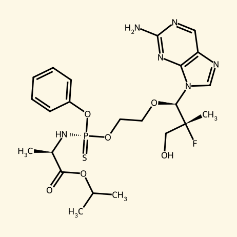 CC(C)OC(=O)[C@@H](C)N[P@@](=S)(OCCO[C@@H](n1cnc2cnc(N)nc21)[C@](C)(F)CO)Oc1ccccc1